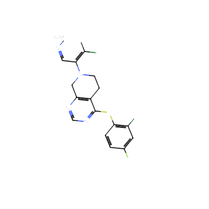 CN/N=C\C(=C(\Cl)C=O)N1CCc2c(ncnc2Sc2ccc(F)cc2Cl)C1